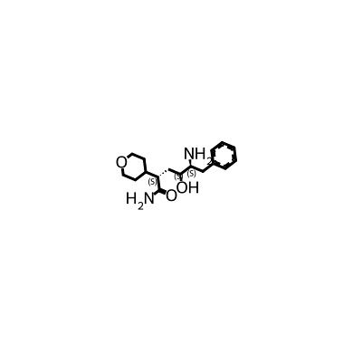 NC(=O)[C@@H](C[C@H](O)[C@@H](N)Cc1ccccc1)C1CCOCC1